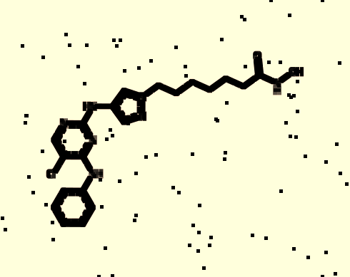 O=C(CCCCCCn1cc(Nc2ncc(Cl)c(Nc3ccccc3)n2)cn1)NO